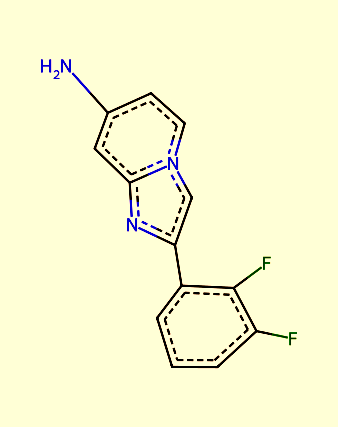 Nc1ccn2cc(-c3cccc(F)c3F)nc2c1